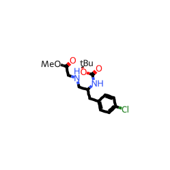 COC(=O)CNCC(Cc1ccc(Cl)cc1)NC(=O)OC(C)(C)C